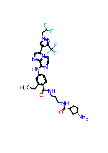 CCc1cc(Nc2nccn3c(-c4cn(CC(F)F)nc4C(F)(F)F)cnc23)ccc1C(=O)NCCCNC(=O)[C@@H]1CC[C@H](N)C1